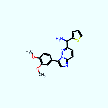 COc1ccc(-c2cnc3ccc(C(N)c4cccs4)nn23)cc1OC